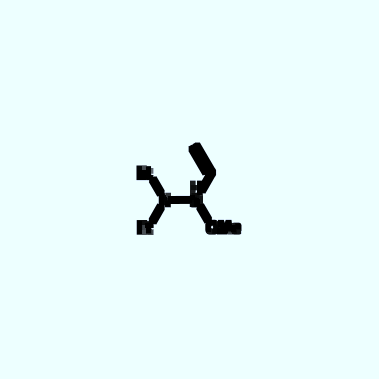 C=C[SiH](OC)N(CC)CC